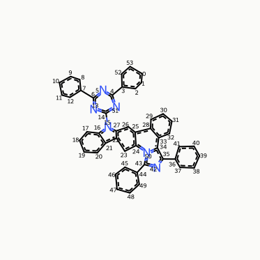 c1ccc(-c2nc(-c3ccccc3)nc(-n3c4ccccc4c4cc5c(cc43)c3ccccc3c3c(-c4ccccc4)nc(-c4ccccc4)n53)n2)cc1